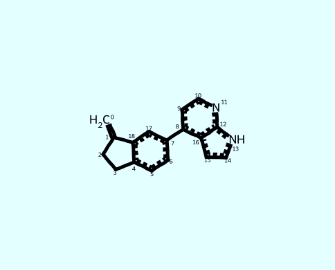 C=C1CCc2ccc(-c3ccnc4[nH]ccc34)cc21